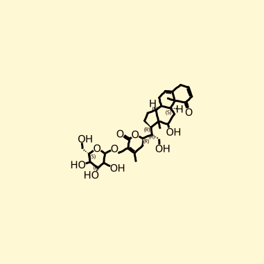 CC1=C(COC2O[C@@H](CO)C(O)[C@@H](O)C2O)C(=O)O[C@@H]([C@@H](CO)[C@H]2CC[C@H]3C4CC=C5CC=CC(=O)C5(C)[C@H]4CC(O)C23C)C1